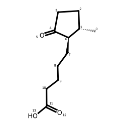 C[C@H]1CCC(=O)[C@@H]1CCCCC(=O)O